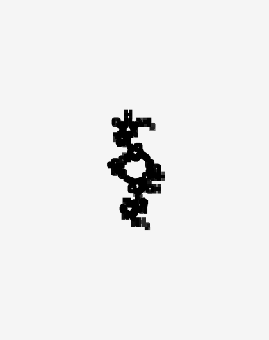 COP1(=O)OCC2O[C@@H](n3cnc4c(N)ncnc43)[C@H](O)[C@@H]2OP(=O)(O)OCC2C[C@@H](O1)C(n1cnc3c(=O)[nH]c(N)nc31)O2